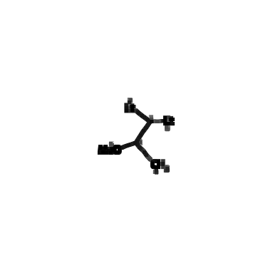 CCC(CC)C(C)OC